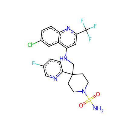 NS(=O)(=O)N1CCC(CNc2cc(C(F)(F)F)nc3ccc(Cl)cc23)(c2ccc(F)cn2)CC1